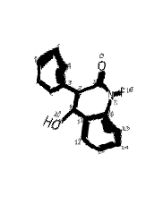 O=c1c(-c2ccccc2)c(O)c2ccccc2n1F